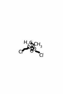 CN(C)P(=O)(OCCCl)OCCCl